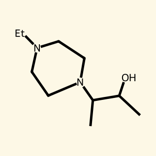 CCN1CCN(C(C)C(C)O)CC1